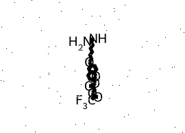 N=C(N)CCCCCOc1ccc2c(c1)CCC(OC(=O)COC(=O)C(F)(F)F)O2